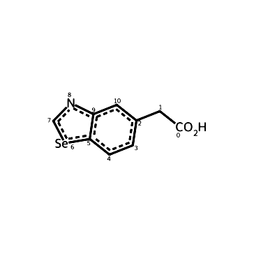 O=C(O)Cc1ccc2[se]cnc2c1